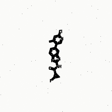 Cc1cc(Cl)ncc1-c1ccc2nc(NC(=O)C3CC3F)sc2c1